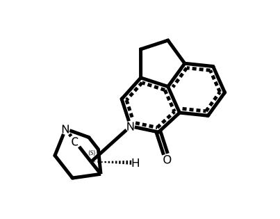 O=c1c2cccc3c2c(cn1[C@@H]1CN2CCC1CC2)CC3